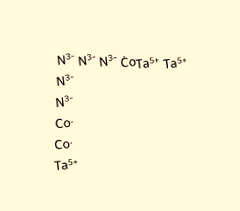 [Co].[Co].[Co].[N-3].[N-3].[N-3].[N-3].[N-3].[Ta+5].[Ta+5].[Ta+5]